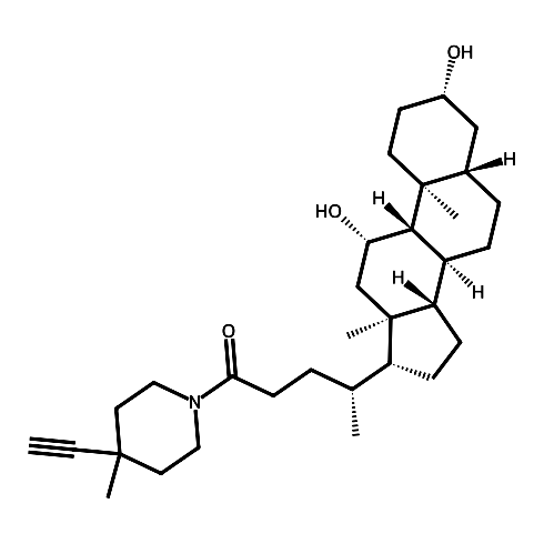 C#CC1(C)CCN(C(=O)CC[C@@H](C)[C@H]2CC[C@H]3[C@@H]4CC[C@H]5C[C@@H](O)CC[C@]5(C)[C@H]4[C@@H](O)C[C@]23C)CC1